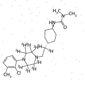 [2H]C1([2H])N(CC([2H])([2H])[C@H]2CC[C@H](NC(=O)N(C)C)CC2)C([2H])([2H])C([2H])([2H])N(c2cccc(C)c2Cl)C1([2H])[2H]